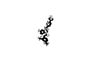 O=C(Cc1ccc(C(F)(F)F)cc1C(F)(F)F)N(Cc1nnc(-c2ccc(C3CCNCC3)nn2)o1)c1ccc(F)cc1